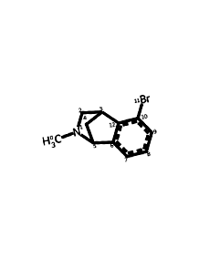 CN1CC2CC1c1cccc(Br)c12